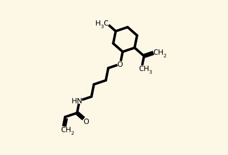 C=CC(=O)NCCCCOC1CC(C)CCC1C(=C)C